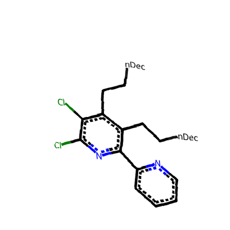 CCCCCCCCCCCCc1c(-c2ccccn2)nc(Cl)c(Cl)c1CCCCCCCCCCCC